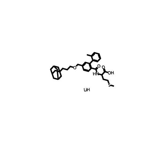 CSCCC(NC(=O)c1ccc(COCCCC23CC4CC(CC(C4)C2)C3)cc1-c1ccccc1C)C(=O)O.[LiH]